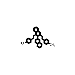 Cc1ccc(CCc2cc3ccccc3c(CCc3ccc(C)cc3)c2-c2ccc3ccccc3c2)cc1